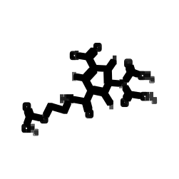 CC(=O)OCCNC(=O)c1c(I)c(C(=O)Cl)c(I)c(N(C(C)=O)C(C)=O)c1I